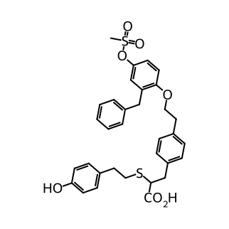 CS(=O)(=O)Oc1ccc(OCCc2ccc(CC(SCCc3ccc(O)cc3)C(=O)O)cc2)c(Cc2ccccc2)c1